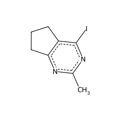 Cc1nc(I)c2c(n1)CCC2